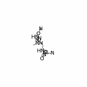 CCCNc1nc(Nc2ccc(C#N)cc2)ncc1C#CCCCNC(=O)[C@]1(C)C[C@@H](OC)CN1C(=O)/C=C/CN(C)C